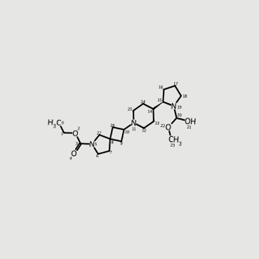 CCOC(=O)N1CCC2(CC(N3CCC([C@H]4CCCN4C(O)OC)CC3)C2)C1